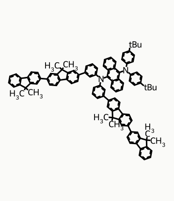 CC(C)(C)c1ccc(N(c2ccc(C(C)(C)C)cc2)c2c3ccccc3c(N(c3cccc(-c4ccc5c(c4)C(C)(C)c4cc(-c6ccc7c(c6)C(C)(C)c6ccccc6-7)ccc4-5)c3)c3cccc(-c4ccc5c(c4)C(C)(C)c4cc(-c6ccc7c(c6)C(C)(C)c6ccccc6-7)ccc4-5)c3)c3ccccc23)cc1